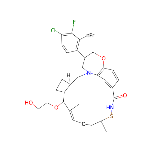 CCCc1c(C2COc3ccc4cc3N(C2)C[C@@H]2CCC2C(OCCO)/C(C)=C/CCC(C)SNC4=O)ccc(Cl)c1F